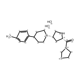 Cc1ccc(C2CCN([C@@H]3CN[C@H](C(=O)N4CCSC4)C3)CC2)cc1.Cl.Cl